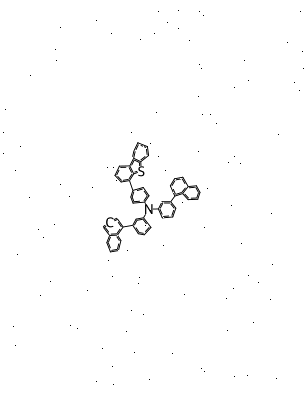 c1cc(-c2cccc3ccccc23)cc(N(c2ccc(-c3cccc4c3sc3ccccc34)cc2)c2cccc(-c3cccc4ccccc34)c2)c1